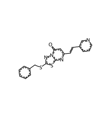 O=c1cc(/C=C/c2cccnc2)nc2sc(SCc3ccccc3)nn12